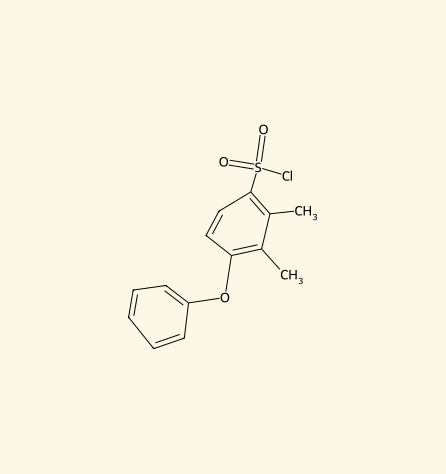 Cc1c(Oc2ccccc2)ccc(S(=O)(=O)Cl)c1C